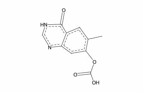 Cc1cc2c(=O)[nH]cnc2cc1OC(=O)O